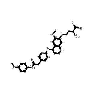 COc1ccc(NC(=O)Cc2ccc(Oc3ccnc4cc(OCCC(N)C(=O)O)c(OC)cc34)cc2)cc1